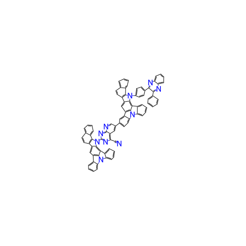 N#Cc1nc(-n2c3c4ccccc4ccc3c3cc4c5ccccc5n5c6ccccc6c(c32)c45)nc2ncc(-c3ccc4c(c3)c3cc5c6ccc7ccccc7c6n(-c6ccc(-c7nc8ccccc8nc7-c7ccccc7)cc6)c5c5c6ccccc6n4c35)cc12